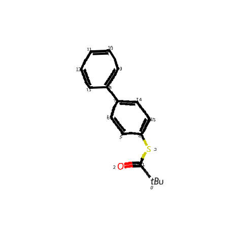 CC(C)(C)C(=O)Sc1ccc(-c2ccccc2)cc1